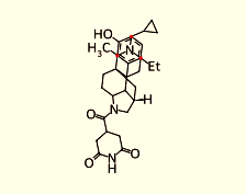 CCc1ccc(O)cc1C12CCN(CC3CC3)C(C)C13CCC1C2[C@@H](CN1C(=O)C1CC(=O)NC(=O)C1)C3